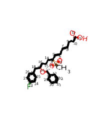 CS(=O)(=O)C(CCCCCCC(=O)O)CCCC(Cc1ccc(F)cc1)OCc1ccccc1